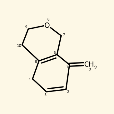 C=C1C=CCC2=C1COCC2